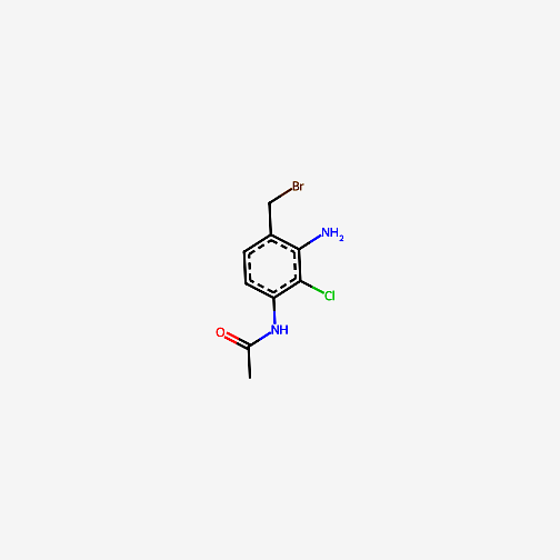 CC(=O)Nc1ccc(CBr)c(N)c1Cl